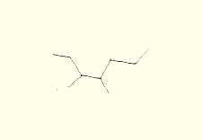 C[CH]C(Cl)C(C)CCC